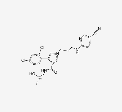 C[C@H](O)CNC(=O)c1cn(CCCNc2ccc(C#N)cn2)cc1-c1ccc(Cl)cc1Cl